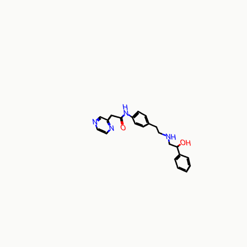 O=C(Cc1cnccn1)Nc1ccc(CCNCC(O)c2ccccc2)cc1